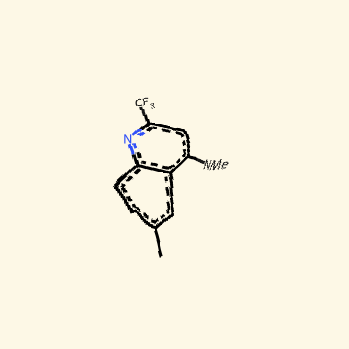 CNc1cc(C(F)(F)F)nc2ccc(C)cc12